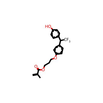 C=C(C)C(=O)OCCCOc1ccc(C(c2ccc(O)cc2)C(F)(F)F)cc1